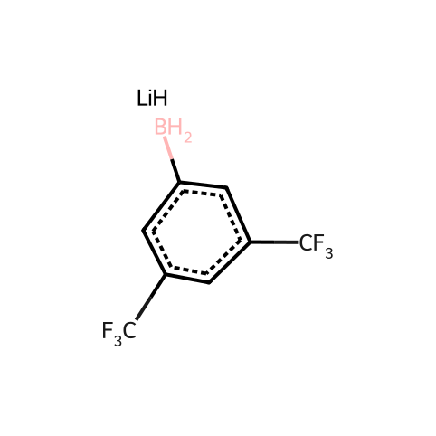 Bc1cc(C(F)(F)F)cc(C(F)(F)F)c1.[LiH]